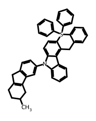 CC1CCC2=C(C1)c1cc(-n3c4ccccc4c4c5c(ccc43)S(c3ccccc3)(c3ccccc3)c3ccccc3C5)ccc1C2